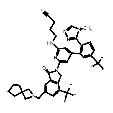 Cn1cnnc1-c1ccc(C(F)(F)F)cc1-c1cc(NCCCC#N)nc(N2Cc3c(cc(CN4CC5(CCCC5)C4)cc3C(F)(F)F)C2=O)c1